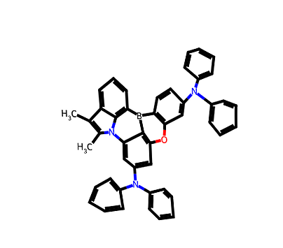 Cc1c(C)n2c3c(cccc13)B1c3ccc(N(c4ccccc4)c4ccccc4)cc3Oc3cc(N(c4ccccc4)c4ccccc4)cc-2c31